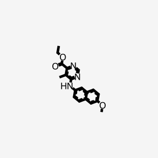 CCOC(=O)c1ncnc(Nc2ccc3cc(OC)ccc3c2)c1C